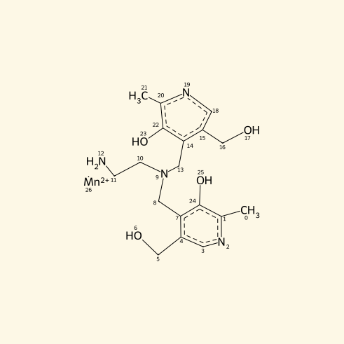 Cc1ncc(CO)c(CN(CCN)Cc2c(CO)cnc(C)c2O)c1O.[Mn+2]